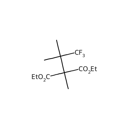 CCOC(=O)C(C)(C(=O)OCC)C(C)(C)C(F)(F)F